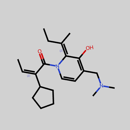 C/C=C(\C(=O)N1C=CC(CN(C)C)=C(O)/C1=C(\C)CC)C1CCCC1